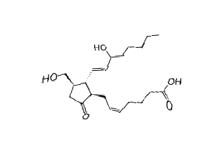 CCCCCC(O)/C=C/[C@H]1[C@H](CO)CC(=O)[C@@H]1C/C=C\CCCC(=O)O